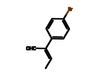 CC=C(C=O)c1ccc(Br)cc1